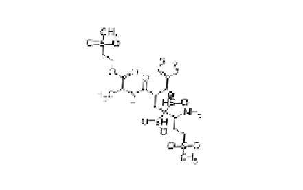 CC(NC(=O)C(Cc1ccsc1)CC(C(N)CCS(C)(=O)=O)([SH](=O)=O)[SH](=O)=O)C(=O)OCCS(C)(=O)=O